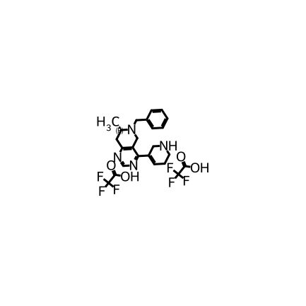 C[C@@H]1Cc2ncnc(C3=CCCNC3)c2CN1Cc1ccccc1.O=C(O)C(F)(F)F.O=C(O)C(F)(F)F